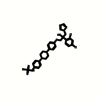 CCS(=O)(=O)Nc1ccc(N2CCN(c3ccc(OCC(O)(Cn4cncn4)c4ccc(Cl)cc4Cl)cc3)CC2)cc1